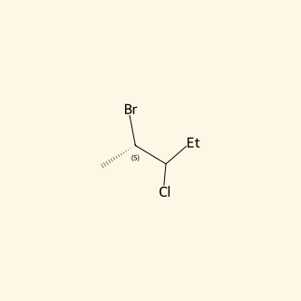 CCC(Cl)[C@H](C)Br